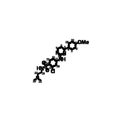 COc1ccc(-c2ccnc(Nc3ccc(S(=O)(=O)NCCN(C)C)c(Cl)c3)n2)cc1